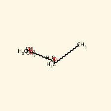 CCCCCCCCCCCCCCCCCCC(C)C(CCCCCCCCCCCCCCOC(=O)C(C)(C)C)OC